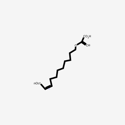 [CH]=C(OCCCCCCCC/C=C\CCCCCCCC)C(=O)O